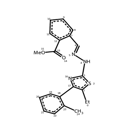 CCc1sc(N/N=C/c2ccccc2C(=O)OC)nc1-c1ccccc1C